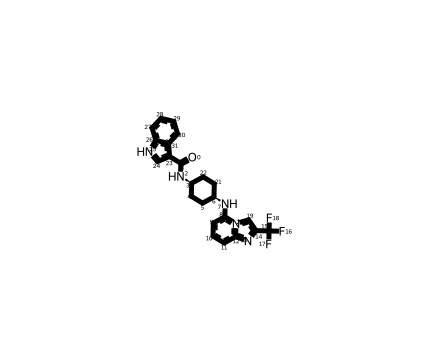 O=C(N[C@H]1CC[C@@H](Nc2cccc3nc(C(F)(F)F)cn23)CC1)c1c[nH]c2ccccc12